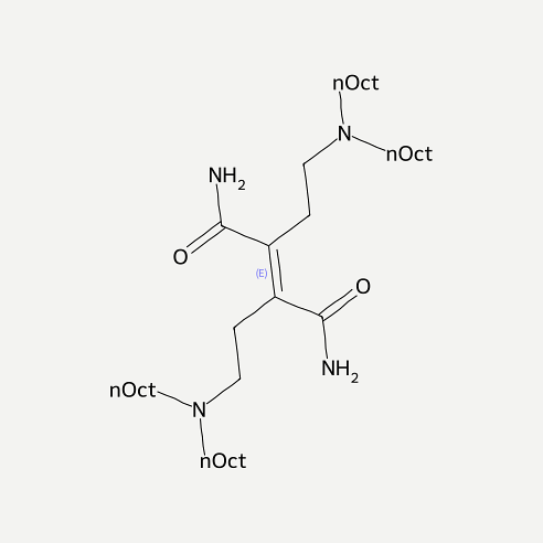 CCCCCCCCN(CCCCCCCC)CC/C(C(N)=O)=C(/CCN(CCCCCCCC)CCCCCCCC)C(N)=O